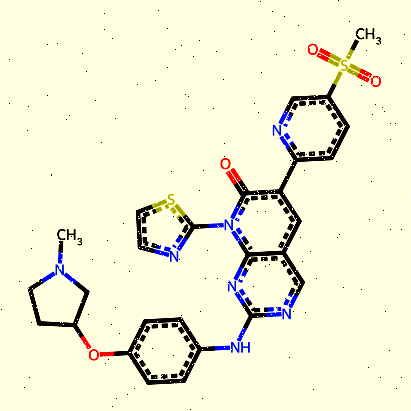 CN1CCC(Oc2ccc(Nc3ncc4cc(-c5ccc(S(C)(=O)=O)cn5)c(=O)n(-c5nccs5)c4n3)cc2)C1